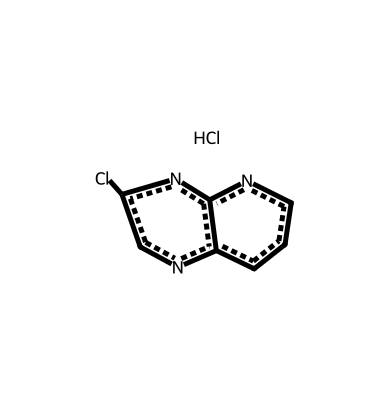 Cl.Clc1cnc2cccnc2n1